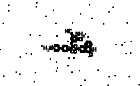 C#Cc1cc(C[C@@H](OC(=O)N2CCC3(CC2)CC(=O)Nc2ccccc23)C(=O)N2CCC(C3CCN(C)CC3)CC2)cc(Cl)c1N